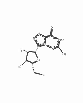 C[C@H]1[C@H](O)[C@@H](CO)O[C@H]1c1nnc2c(=O)[nH]c(N)nn12